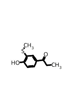 CCC(=O)c1ccc(O)c(SC)c1